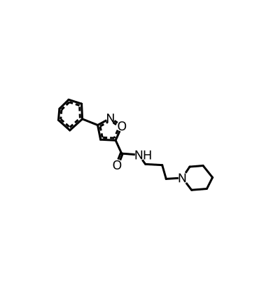 O=C(NCCCN1CCCCC1)c1cc(-c2ccccc2)no1